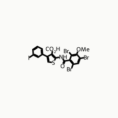 COc1c(Br)cc(Br)c(C(=O)Nc2scc(-c3cccc(I)c3)c2C(=O)O)c1Br